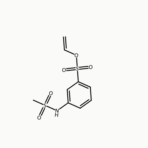 C=COS(=O)(=O)c1cccc(NS(C)(=O)=O)c1